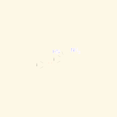 CC(C)(N)Cc1c[nH]c2cc(OCc3ccccc3)ccc12